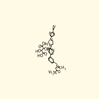 CN(CC(N)=O)Cc1cccc(-c2cnc(N3CCN(c4ccc(C#N)nc4)CC3)nc2)c1.O=C(O)C(O)C(O)C(=O)O